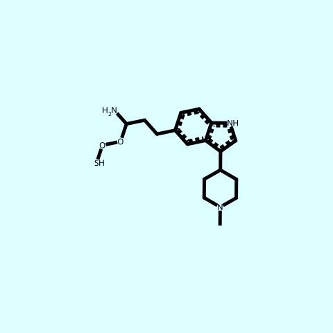 CN1CCC(c2c[nH]c3ccc(CCC(N)OOS)cc23)CC1